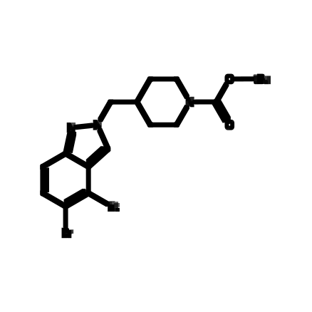 CCc1c(Br)ccc2nn(CC3CCN(C(=O)OC(C)(C)C)CC3)cc12